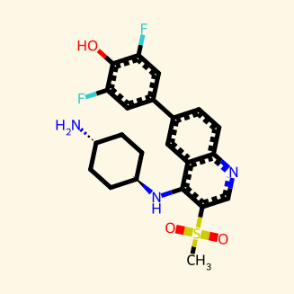 CS(=O)(=O)c1cnc2ccc(-c3cc(F)c(O)c(F)c3)cc2c1N[C@H]1CC[C@H](N)CC1